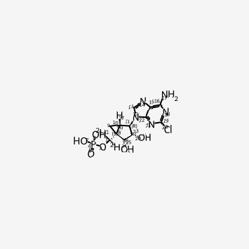 [2H]C([2H])(OP(=O)(O)O)[C@]12C[C@@H]1[C@@H](n1cnc3c(N)nc(Cl)nc31)[C@H](O)[C@@H]2O